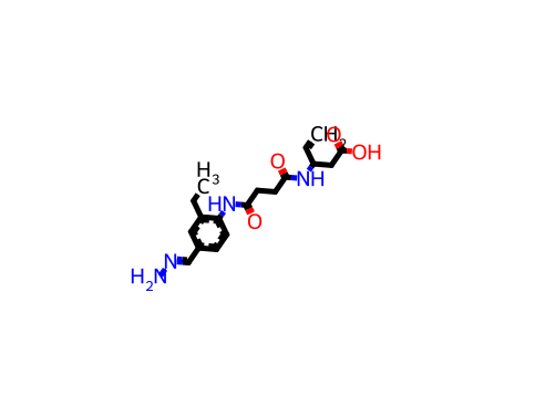 C=CC(CC(=O)O)NC(=O)CCC(=O)Nc1ccc(C=NN)cc1CC